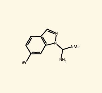 CNC(N)n1ncc2ccc(C(C)C)cc21